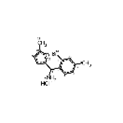 Cc1ccc(C(N)c2ccc(C)o2)c(Br)c1.Cl